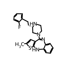 Cc1cc2c(s1)Nc1ccccc1N=C2N1CCN[C@@H](CCc2ccccc2F)C1